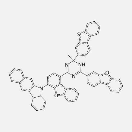 CC1(c2ccc3c(c2)sc2ccccc23)N=C(c2ccc(N3c4cc5ccccc5cc4C4C=CC=CC43)c3oc4ccccc4c23)N=C(c2ccc3c(c2)oc2ccccc23)N1